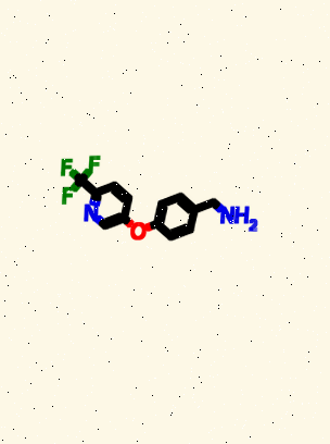 NCc1ccc(Oc2ccc(C(F)(F)F)nc2)cc1